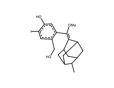 COC(=C1C2CC3CC1CC(C2)C3C)c1cc(O)c(I)cc1CO